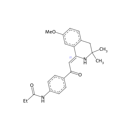 CCC(=O)Nc1ccc(C(=O)/C=C2\NC(C)(C)Cc3ccc(OC)cc32)cc1